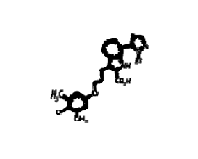 CCn1nccc1-c1cccc2c(CCCOc3cc(C)c(Cl)c(C)c3)c(C(=O)O)[nH]c12